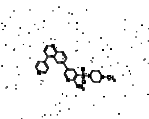 CN1CCN(S(=O)(=O)c2cc(-c3ccc4nccc(-c5ccncc5)c4c3)cnc2N)CC1